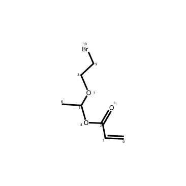 C=CC(=O)OC(C)OCCBr